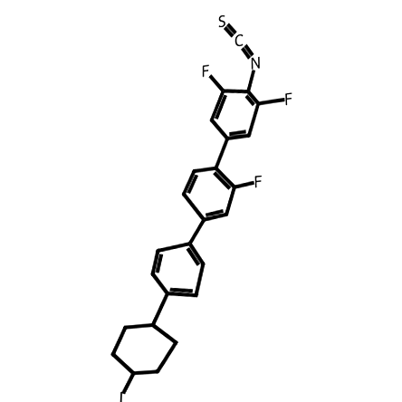 Fc1cc(-c2ccc(C3CCC(I)CC3)cc2)ccc1-c1cc(F)c(N=C=S)c(F)c1